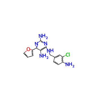 Nc1nc(NCc2ccc(N)c(Cl)c2)c(N)c(-c2ccco2)n1